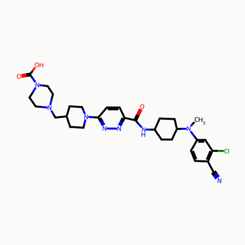 CN(c1ccc(C#N)c(Cl)c1)C1CCC(NC(=O)c2ccc(N3CCC(CN4CCN(C(=O)O)CC4)CC3)nn2)CC1